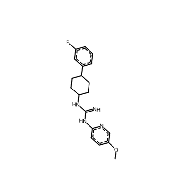 COc1ccc(NC(=N)NC2CCC(c3cccc(F)c3)CC2)nc1